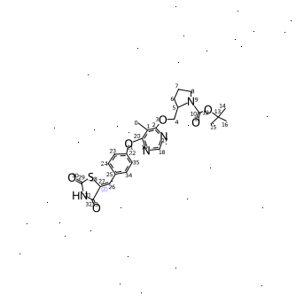 Cc1c(OCC2CCCN2C(=O)OC(C)(C)C)ncnc1Oc1ccc(/C=C2\SC(=O)NC2=O)cc1